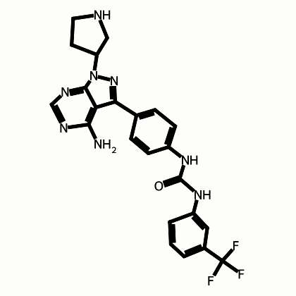 Nc1ncnc2c1c(-c1ccc(NC(=O)Nc3cccc(C(F)(F)F)c3)cc1)nn2C1CCNC1